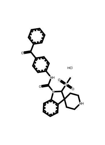 CS(=O)(=O)C1N(C(=O)Nc2ccc(C(=O)c3ccccc3)cc2)c2ccccc2C12CCNCC2.Cl